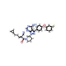 N#C/C(=C\CCC1CC1)C(=O)N1CCC[C@@H](n2nc(-c3ccc(Oc4cccc(F)c4)cc3)c3c(N)ncnc32)C1